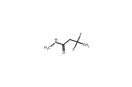 CNC(=O)CC(C)(F)F